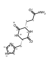 NC(=O)CC[C@@H]1NC(=O)[C@H](Cc2c[nH]cn2)NC1=O